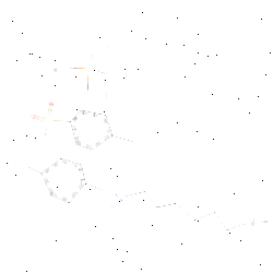 CCCCCCCCCCCCCCCCN.CCCC[P+](CCCC)(CCCC)CCCC.Cc1ccc(S(=O)(=O)O)cc1.Cc1ccc(S(=O)(=O)[O-])cc1